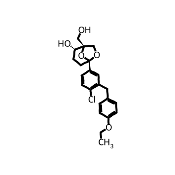 CCOc1ccc(Cc2cc([C@]34CC[C@H](O)[C@](CO)(CO3)O4)ccc2Cl)cc1